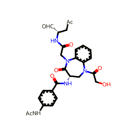 CC(=O)C[C@@H](C=O)NC(=O)CN1C(=O)[C@@H](NC(=O)c2ccc(NC(C)=O)cc2)CN(C(=O)CO)c2ccccc21